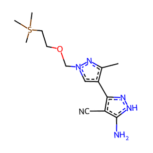 Cc1nn(COCCS(C)(C)C)cc1-c1n[nH]c(N)c1C#N